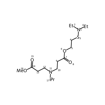 CCN(CC)SCCOC(=O)CCN(CCC(=O)OC)C(C)C